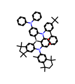 Cc1cc2c3c(c1)N(c1ccc(C(C)(C)C)cc1-c1ccccc1)c1cc(N(c4ccccc4)c4ccccc4)ccc1B3c1cc3c(cc1N2c1cc2c(cc1C)C(C)(C)CCC2(C)C)C(C)(C)CC3(C)C